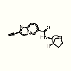 C#Cc1cn2cc(C(=O)NC3CN4CC[C@H]3C4)ccc2n1